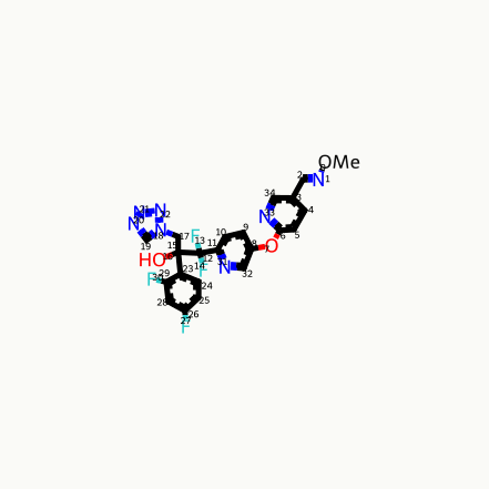 CON=Cc1ccc(Oc2ccc(C(F)(F)C(O)(Cn3cnnn3)c3ccc(F)cc3F)nc2)nc1